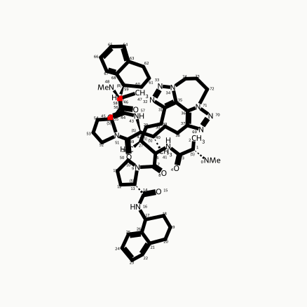 CN[C@@H](C)C(=O)NC(C(=O)N1CCC[C@H]1C(=O)NC1CCCc2ccccc21)[C@@H](C)CCc1nnn2c1-c1c(CC[C@H](C)[C@H](NC(=O)[C@H](C)NC)C(=O)N3CCC[C@H]3C(=O)N[C@@H]3CCCc4ccccc43)nnn1CCC2